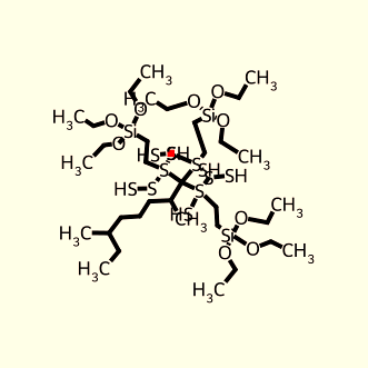 CCO[Si](CCS(S)(SS)C(C(C)CCCC(C)CC)(S(S)(CC[Si](OCC)(OCC)OCC)SS)S(S)(CC[Si](OCC)(OCC)OCC)SS)(OCC)OCC